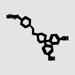 CCCCCCC[C@H]1CC[C@H](CCC2CCC(c3ccc(O)cc3)(c3ccc(O)cc3)CC2)CC1